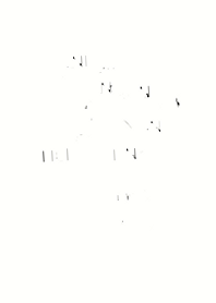 CC(N)Cc1c(Cl)c2c(NCc3ccco3)nc(Cl)nc2n1C.Cl